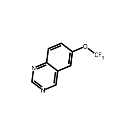 FC(F)(F)Oc1ccc2ncncc2c1